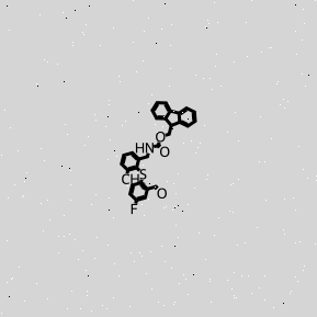 Cc1cccc(CNC(=O)OCC2c3ccccc3-c3ccccc32)c1Sc1ccc(F)cc1C=O